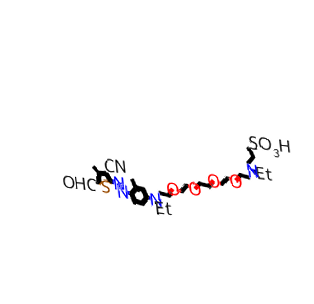 CCN(CCCS(=O)(=O)O)CCOCCOCCOCCOCCN(CC)c1ccc(/N=N/c2sc(C=O)c(C)c2C#N)c(C)c1